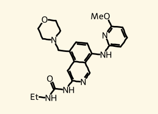 CCNC(=O)Nc1cc2c(CN3CCOCC3)ccc(Nc3cccc(OC)n3)c2cn1